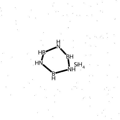 B1NBNBN1.[SiH4]